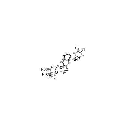 COc1cc2c(Nc3ccc(Cl)c(Cl)c3)ncnc2cc1OCC1CN(C)C(C)(C)CO1